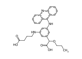 CCCOC(C(=O)O)c1cc(NCCCC(=O)O)cc(Nc2c3ccccc3nc3ccccc23)c1